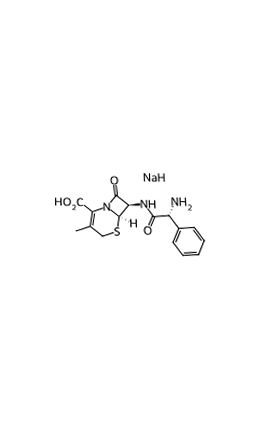 CC1=C(C(=O)O)N2C(=O)[C@@H](NC(=O)[C@H](N)c3ccccc3)[C@H]2SC1.[NaH]